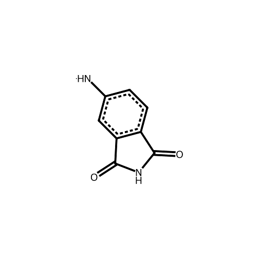 [NH]c1ccc2c(c1)C(=O)NC2=O